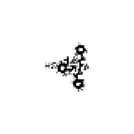 NC(Cc1ccccc1)C(=O)N(CCc1ccccc1)C(=O)Cc1ccc(O)cc1